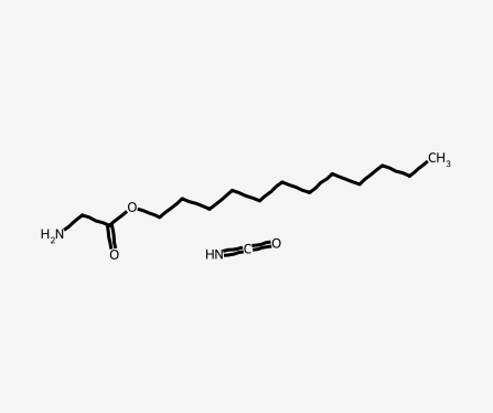 CCCCCCCCCCCCOC(=O)CN.N=C=O